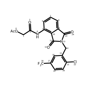 CC(=O)OCC(=O)Nc1cccc2c1C(=O)N(Cc1cc(C(F)(F)F)ccc1Cl)C2=O